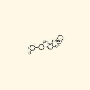 Cn1ccc(-c2ccc(-c3ccc(O[C@H]4CC5CCCC(N5)[C@H]4F)nn3)c(O)c2)cc1=O